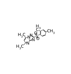 Cc1ccc(S(=O)(=O)c2nc3nc(C)cc(C)n3n2)c(C)c1